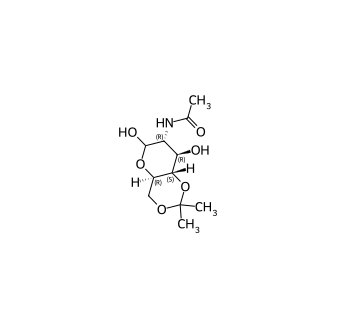 CC(=O)N[C@H]1C(O)O[C@@H]2COC(C)(C)O[C@H]2[C@@H]1O